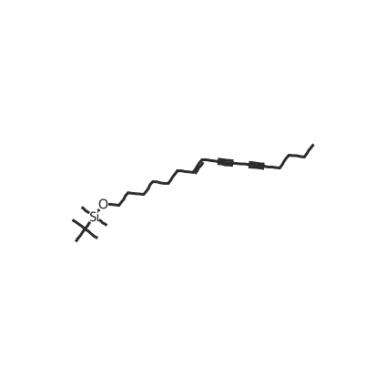 CCCCC#CC#CC=CCCCCCCO[Si](C)(C)C(C)(C)C